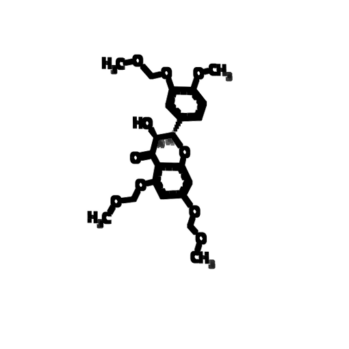 COCOc1cc(OCOC)c2c(c1)O[C@@H](c1ccc(OC)c(OCOC)c1)[C@H](O)C2=O